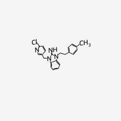 Cc1ccc(CCn2c(=N)n(Cc3ccc(Cl)nc3)c3ccccc32)cc1